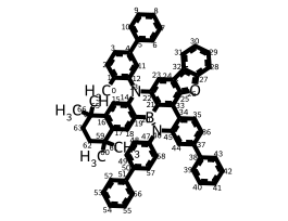 Cc1ccc(-c2ccccc2)cc1N1c2cc3c(cc2B2c4c1cc1c(oc5ccccc51)c4-c1ccc(-c4ccccc4)cc1N2c1ccc(-c2ccccc2)cc1)C(C)(C)CCC3(C)C